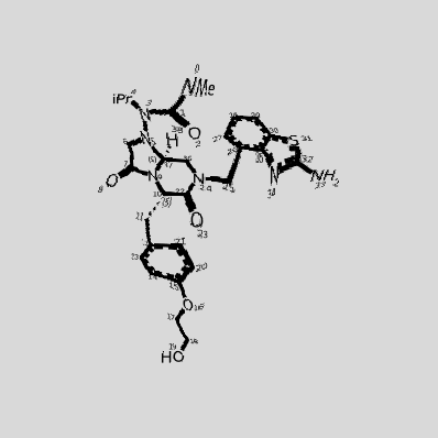 CNC(=O)N(C(C)C)N1CC(=O)N2[C@@H](Cc3ccc(OCCO)cc3)C(=O)N(Cc3cccc4sc(N)nc34)C[C@@H]21